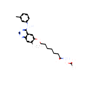 CCC(=O)ONC(=O)CCCCCCOc1cc2c(Nc3cccc(C)c3)ncnc2cc1OC